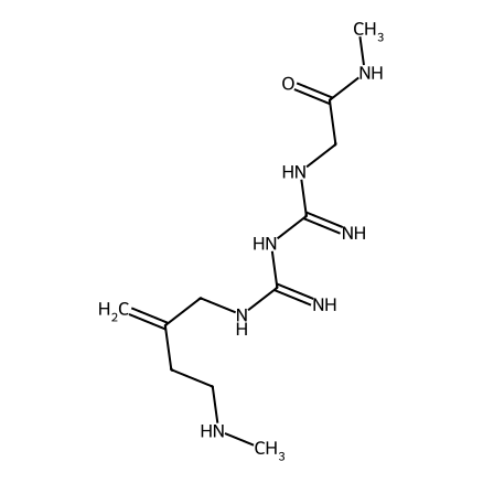 C=C(CCNC)CNC(=N)NC(=N)NCC(=O)NC